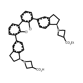 CCOC(=O)C1CN([C@@H]2CCc3cc(-c4cccc(-c5cccc(-c6ccc7c(c6)CC[C@@H]7N6CC(C(=O)O)C6)c5Cl)c4Cl)ccc32)C1